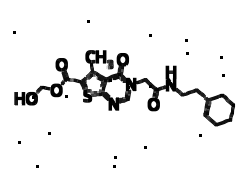 Cc1c(C(=O)OCO)sc2ncn(CC(=O)NCCC3=CCCCC3)c(=O)c12